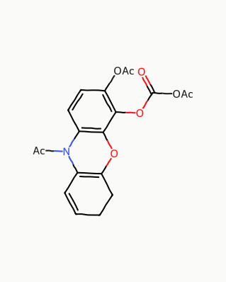 CC(=O)OC(=O)Oc1c(OC(C)=O)ccc2c1OC1=C(C=CCC1)N2C(C)=O